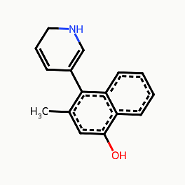 Cc1cc(O)c2ccccc2c1C1=CNCC=C1